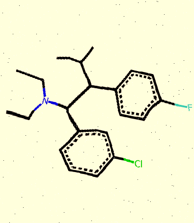 CCN(CC)C(c1cccc(Cl)c1)C([C](C)C)c1ccc(F)cc1